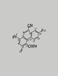 COc1c(F)cc(C(C)C)c(/C=C/C#N)c1-c1ccc(F)cc1